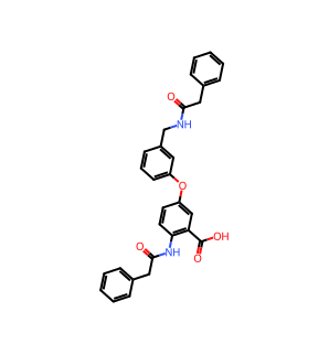 O=C(Cc1ccccc1)NCc1cccc(Oc2ccc(NC(=O)Cc3ccccc3)c(C(=O)O)c2)c1